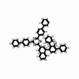 c1ccc(-c2ccc(-c3nc(-c4ccc(-c5ccccc5)cc4)nc(-c4cc(-c5ccc(-c6ccccc6)c6oc7ccccc7c56)c5ccccc5c4)n3)cc2)cc1